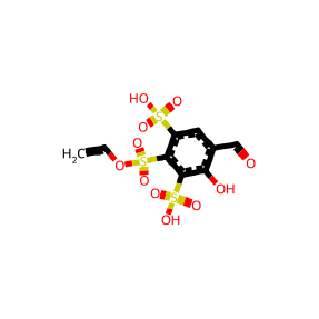 C=COS(=O)(=O)c1c(S(=O)(=O)O)cc(C=O)c(O)c1S(=O)(=O)O